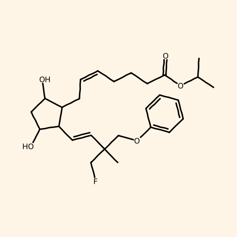 CC(C)OC(=O)CCC/C=C\CC1C(O)CC(O)C1/C=C/C(C)(CF)COc1ccccc1